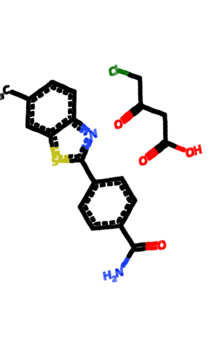 Cc1ccc2nc(-c3ccc(C(N)=O)cc3)sc2c1.O=C(O)CC(=O)CCl